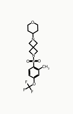 Cc1cc(OC(F)(F)F)ccc1S(=O)(=O)N1CC2(CN(C3CCOCC3)C2)C1